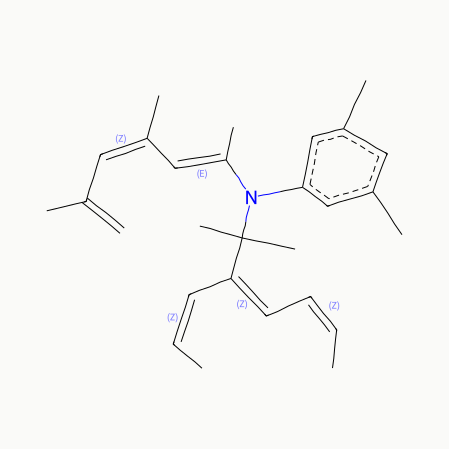 C=C(C)/C=C(C)\C=C(/C)N(c1cc(C)cc(C)c1)C(C)(C)C(/C=C\C)=C\C=C/C